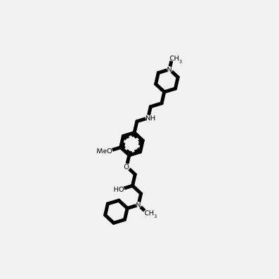 COc1cc(CNCCC2CCN(C)CC2)ccc1OCC(O)CN(C)C1CCCCC1